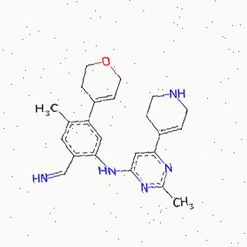 Cc1nc(Nc2cc(C3=CCOCC3)c(C)cc2C=N)cc(C2=CCNCC2)n1